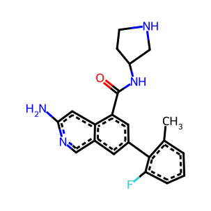 Cc1cccc(F)c1-c1cc(C(=O)NC2CCNC2)c2cc(N)ncc2c1